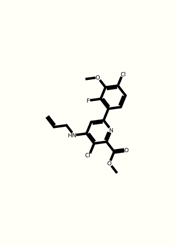 C=CCNc1cc(-c2ccc(Cl)c(OC)c2F)nc(C(=O)OC)c1Cl